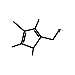 CC1=C(C)C(C)C(CC(C)C)=C1C